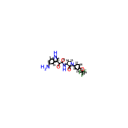 Nc1ccc2[nH]cc(C(=O)C(=O)NC3CCN(c4ccc(OC(F)(F)F)cc4)C3=O)c2c1